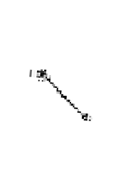 O=C=NCCCCCCCCCCCCCCCCCCOP(=O)(O)O